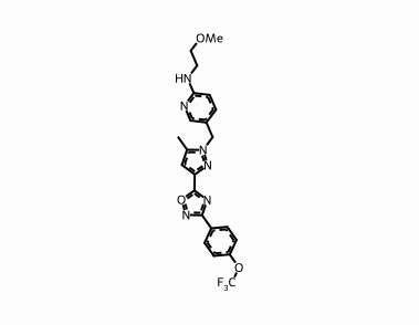 COCCNc1ccc(Cn2nc(-c3nc(-c4ccc(OC(F)(F)F)cc4)no3)cc2C)cn1